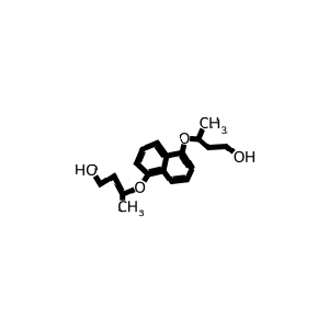 CC(CCO)Oc1cccc2c(OC(C)CCO)cccc12